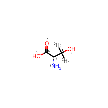 [2H]C([2H])(O)[C@H](N)C(=O)O